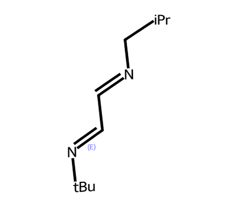 CC(C)CN=C/C=N/C(C)(C)C